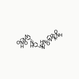 C[C@@H]1CNC(=O)c2cc3ccc(C(=O)Nc4cnn(Cc5ccc(NCc6ccnc(N7CCC(=O)NC7=O)c6)cc5)c4)nc3n21